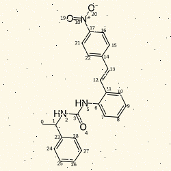 CC(NC(=O)Nc1ccccc1C=Cc1ccc([N+](=O)[O-])cc1)c1ccccc1